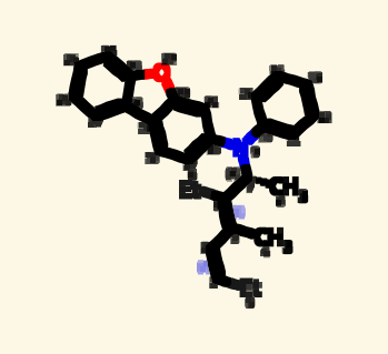 CC/C=C\C(C)=C(/CC)[C@@H](C)N(c1ccccc1)c1ccc2c(c1)oc1ccccc12